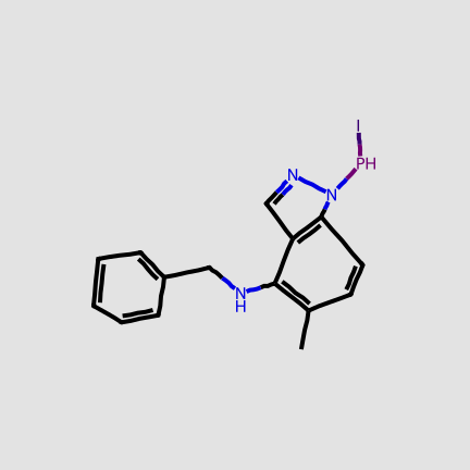 Cc1ccc2c(cnn2PI)c1NCc1ccccc1